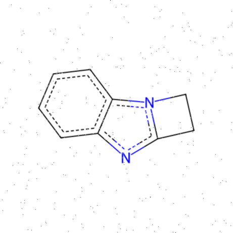 c1ccc2c(c1)nc1n2CC1